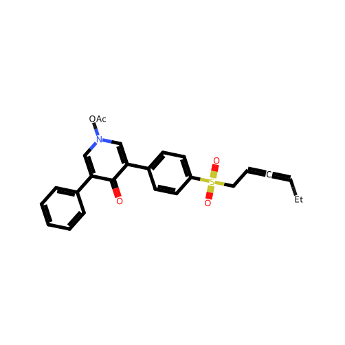 CCC=C=CCS(=O)(=O)c1ccc(-c2cn(OC(C)=O)cc(-c3ccccc3)c2=O)cc1